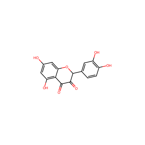 O=C1C(=O)C(c2ccc(O)c(O)c2)Oc2cc(O)cc(O)c21